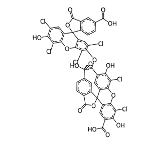 O=C(O)c1ccc2c(c1)C(=O)OC21c2cc(Cl)c(O)c(Cl)c2Oc2c1cc(Cl)c(OC(=O)c1cc3c(c(Cl)c1O)Oc1c(cc(C(=O)O)c(O)c1Cl)C31OC(=O)c3ccc(C(=O)O)cc31)c2Cl